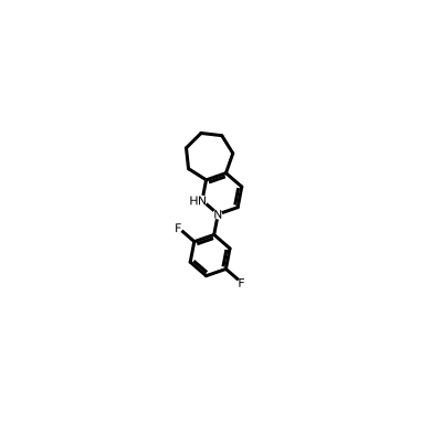 Fc1ccc(F)c(N2C=CC3=C(CCCCC3)N2)c1